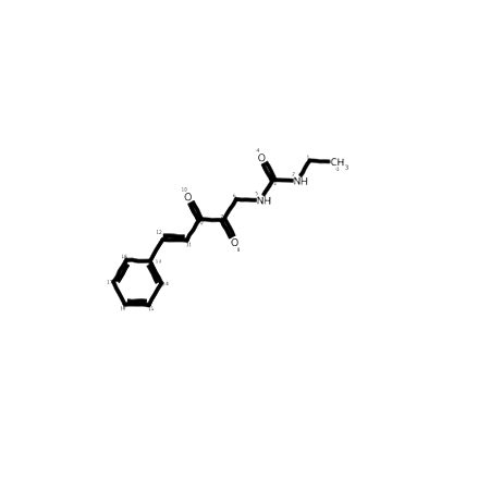 CCNC(=O)NCC(=O)C(=O)/C=C/c1ccccc1